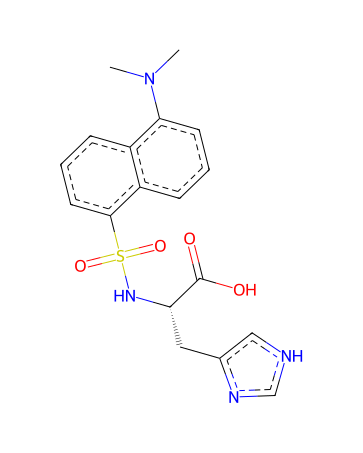 CN(C)c1cccc2c(S(=O)(=O)N[C@@H](Cc3c[nH]cn3)C(=O)O)cccc12